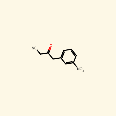 N#CCC(=O)Cc1cccc([N+](=O)[O-])c1